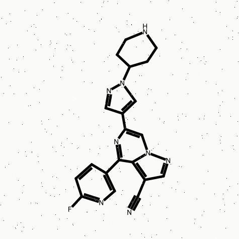 N#Cc1cnn2cc(-c3cnn(C4CCNCC4)c3)nc(-c3ccc(F)nc3)c12